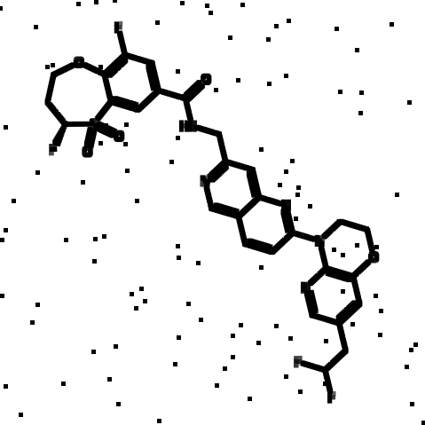 O=C(NCc1cc2nc(N3CCOc4cc(CC(F)F)cnc43)ccc2cn1)c1cc(F)c2c(c1)S(=O)(=O)[C@@H](F)CCO2